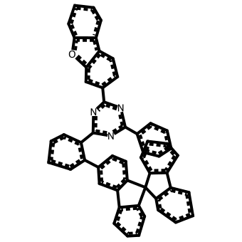 c1ccc(-c2nc(-c3ccc4c(c3)oc3ccccc34)nc(-c3ccccc3-c3ccc4c(c3)-c3ccccc3C43c4ccccc4-c4ccccc43)n2)cc1